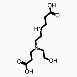 O=C(O)CCNCCN(CCO)CCC(=O)O